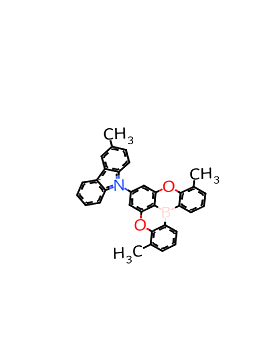 Cc1ccc2c(c1)c1ccccc1n2-c1cc2c3c(c1)Oc1c(C)cccc1B3c1cccc(C)c1O2